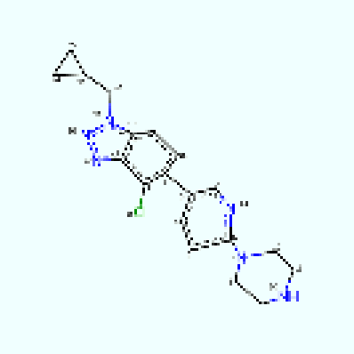 Clc1c(-c2ccc(N3CCNCC3)nc2)ccc2c1nnn2CC1CC1